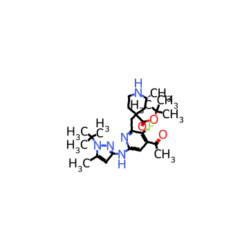 CC(=O)c1cc(Nc2cc(C)n(C(C)(C)C)n2)nc(CC2(C(=O)OC(C)(C)C)CCN[C@H](C)C2)c1F